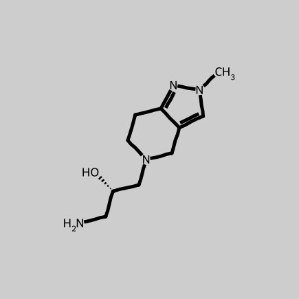 Cn1cc2c(n1)CCN(C[C@@H](O)CN)C2